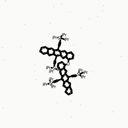 CC(C)[Si](C#Cc1c2cc3ccccc3cc2c(C#C[Si](C(C)C)(C(C)C)C(C)C)c2cc3c(Oc4cccc5cc6c(C#C[Si](C(C)C)(C(C)C)C(C)C)c7cc8ccccc8cc7c(C#C[Si](C(C)C)(C(C)C)C(C)C)c6cc45)cccc3cc12)(C(C)C)C(C)C